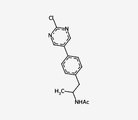 CC(=O)NC(C)Cc1ccc(-c2cnc(Cl)nc2)cc1